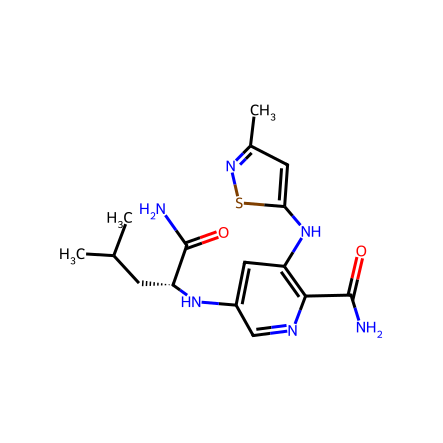 Cc1cc(Nc2cc(N[C@H](CC(C)C)C(N)=O)cnc2C(N)=O)sn1